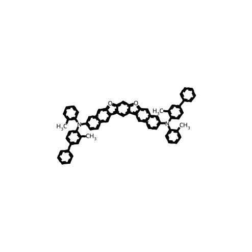 Cc1ccccc1N(c1ccc2cc3c(cc2c1)oc1cc2oc4cc5cc(N(c6ccccc6C)c6ccc(-c7ccccc7)cc6C)ccc5cc4c2cc13)c1ccc(-c2ccccc2)cc1C